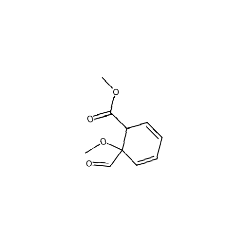 COC(=O)C1C=CC=CC1(C=O)OC